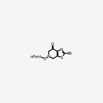 CCCCCSN1CC(=O)c2nc(Br)sc2C1